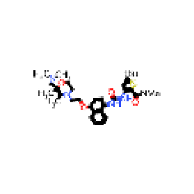 CNC(=O)c1sc(C(C)(C)C)cc1NC(=O)Nc1ccc(OCCN2CCOC(C)(CN(C)C)C2C)c2ccccc12